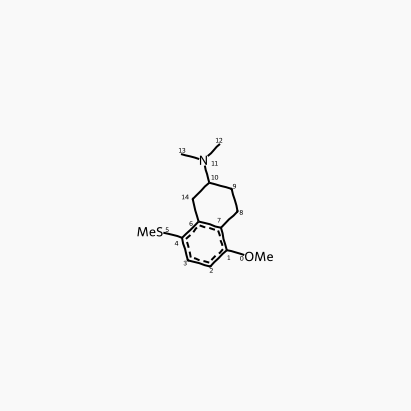 COc1ccc(SC)c2c1CCC(N(C)C)C2